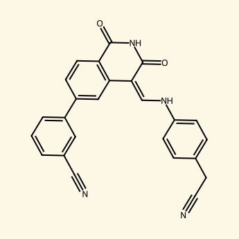 N#CCc1ccc(NC=C2C(=O)NC(=O)c3ccc(-c4cccc(C#N)c4)cc32)cc1